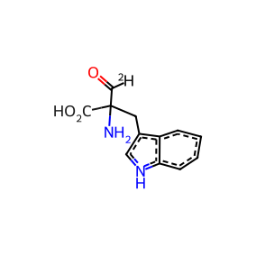 [2H]C(=O)C(N)(Cc1c[nH]c2ccccc12)C(=O)O